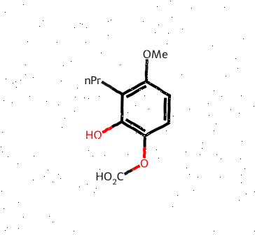 CCCc1c(OC)ccc(OC(=O)O)c1O